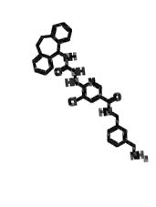 NCc1cccc(CNC(=O)c2cnc(NNC(=O)NC3c4ccccc4CCc4ccccc43)c(Cl)c2)c1